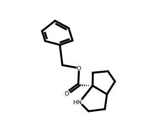 O=C(OCc1ccccc1)[C@]12CCCC1CCN2